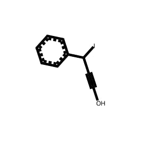 OC#CC(I)c1ccccc1